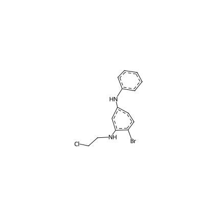 ClCCNc1cc(Nc2ccccc2)ccc1Br